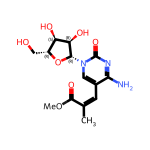 COC(=O)C(C)=Cc1cn([C@@H]2O[C@H](CO)[C@@H](O)[C@H]2O)c(=O)nc1N